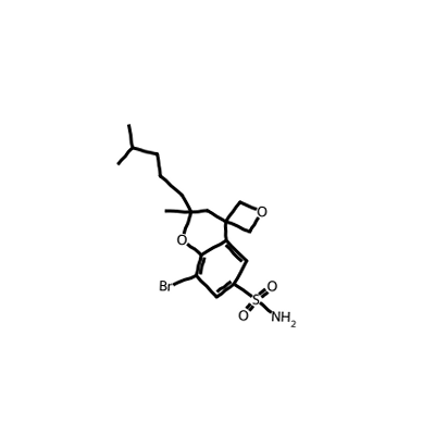 CC(C)CCCC1(C)CC2(COC2)c2cc(S(N)(=O)=O)cc(Br)c2O1